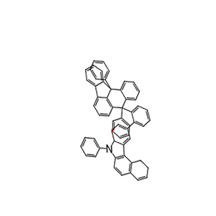 C1=Cc2ccc3c(c2CC1)C1=CC(c2ccccc2C2(c4ccccc4)c4ccccc4C4(c5ccccc5)c5ccccc5-c5cccc2c54)=CCC1N3c1ccccc1